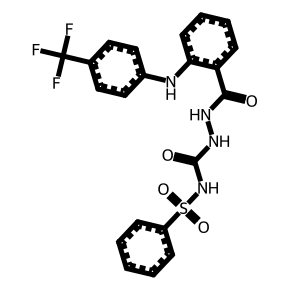 O=C(NNC(=O)c1ccccc1Nc1ccc(C(F)(F)F)cc1)NS(=O)(=O)c1ccccc1